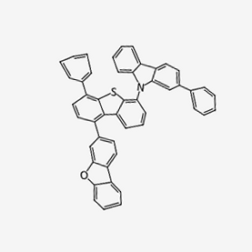 c1ccc(-c2ccc3c4ccccc4n(-c4cccc5c4sc4c(-c6ccccc6)ccc(-c6ccc7c(c6)oc6ccccc67)c45)c3c2)cc1